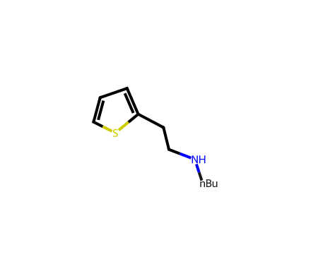 CCCCNCCc1cccs1